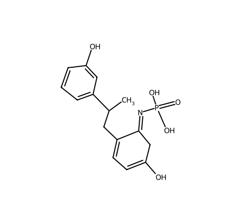 CC(CC1=CC=C(O)CC1=NP(=O)(O)O)c1cccc(O)c1